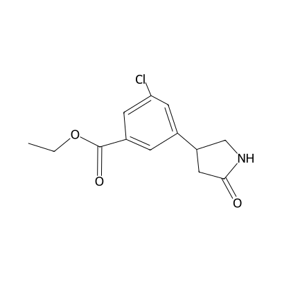 CCOC(=O)c1cc(Cl)cc(C2CNC(=O)C2)c1